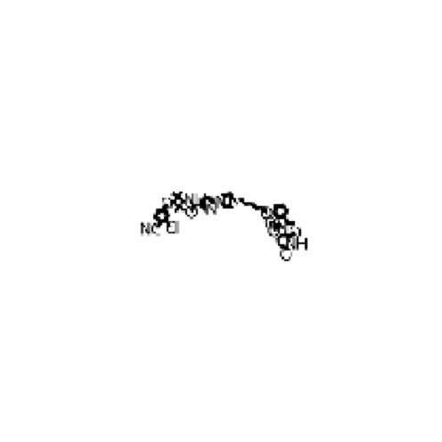 C=C1c2cccc(OCCCCCN3CCN(c4ccc(C(=O)N[C@H]5C(C)(C)[C@H](Oc6ccc(C#N)c(Cl)c6)C5(C)C)cn4)CC3)c2S(=O)(=O)N1C1CCC(=O)NC1=O